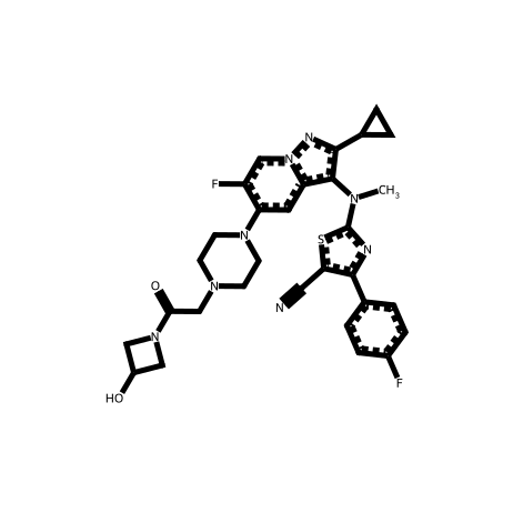 CN(c1nc(-c2ccc(F)cc2)c(C#N)s1)c1c(C2CC2)nn2cc(F)c(N3CCN(CC(=O)N4CC(O)C4)CC3)cc12